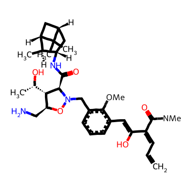 C=C/C=C(C(=O)NC)\C(O)=C\c1cccc(CN2O[C@@H](CN)[C@H]([C@H](C)O)[C@H]2C(=O)N[C@H]2C[C@H]3C[C@@H]([C@@H]2C)C3(C)C)c1OC